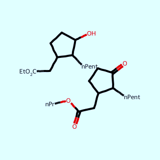 CCCCCC1C(=O)CCC1CC(=O)OCCC.CCCCCC1C(O)CCC1CC(=O)OCC